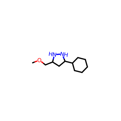 COCC1CC(C2CCCCC2)NN1